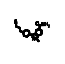 C#CCCCC1CCC(n2nc(C)c3ccc(C(N)=O)cc32)CC1